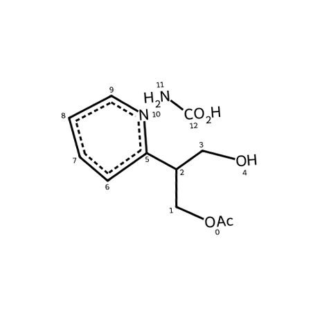 CC(=O)OCC(CO)c1ccccn1.NC(=O)O